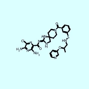 CC(CNSc1cccc(C(=O)N2CCC3(CC2)CN/C(=N\C(=O)c2nc(Cl)c(N)nc2N)N3)c1)Oc1cccnc1